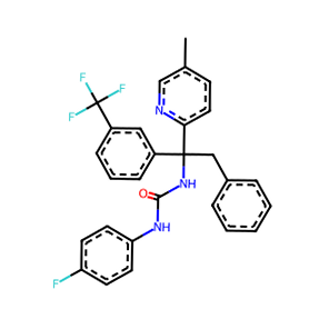 Cc1ccc(C(Cc2ccccc2)(NC(=O)Nc2ccc(F)cc2)c2cccc(C(F)(F)F)c2)nc1